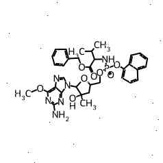 COc1nc(N)nc2c1ncn2C1OC(COP(=O)(NC(C(=O)OCc2ccccc2)C(C)C)Oc2cccc3ccccc23)CC1(C)O